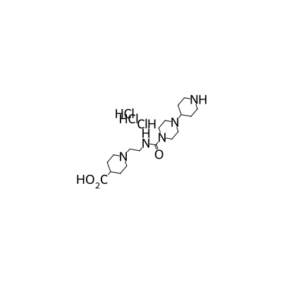 Cl.Cl.Cl.O=C(O)C1CCN(CCNC(=O)N2CCN(C3CCNCC3)CC2)CC1